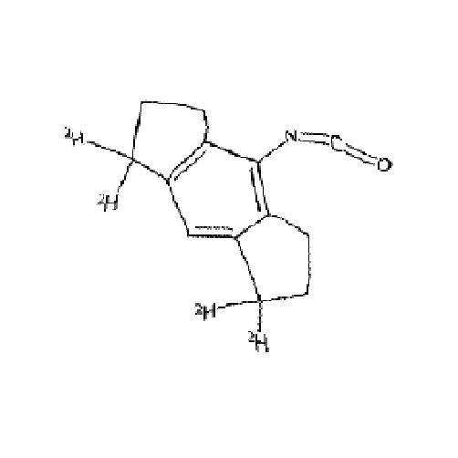 [2H]C1([2H])CCc2c1cc1c(c2N=C=O)CCC1([2H])[2H]